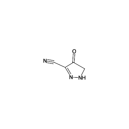 N#CC1=NNCC1=O